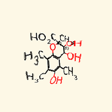 Cc1c(C)c2c(c(C)c1O)C(O)[C@H](O)[C@](C)(C(=O)O)O2